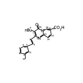 CCCCc1c(C=Cc2cccc(C)c2)nc2ccc(C(=O)O)cn2c1=O